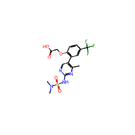 Cc1nc(NS(=O)(=O)N(C)C)ncc1-c1cc(C(F)(F)F)ccc1OCC(=O)O